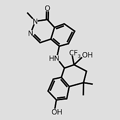 Cn1ncc2c(NC3c4ccc(O)cc4C(C)(C)CC3(O)C(F)(F)F)cccc2c1=O